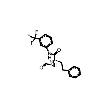 O=CN[C@H](CCc1ccccc1)C(=O)Nc1cccc(C(F)(F)F)c1